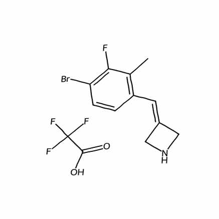 Cc1c(C=C2CNC2)ccc(Br)c1F.O=C(O)C(F)(F)F